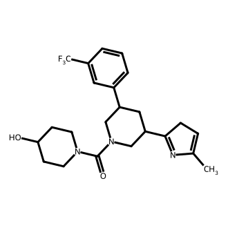 CC1=CCC(C2CC(c3cccc(C(F)(F)F)c3)CN(C(=O)N3CCC(O)CC3)C2)=N1